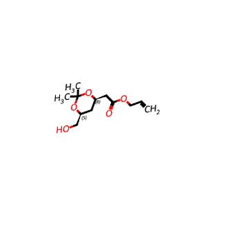 C=CCOC(=O)C[C@H]1C[C@@H](CO)OC(C)(C)O1